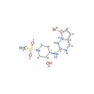 CS(=O)(=O)N1CC[C@@H](Nc2ncc3ccc(Br)n3n2)[C@H](O)C1